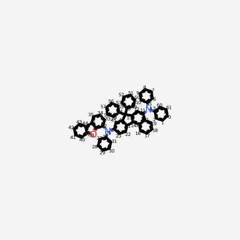 c1ccc(N(c2ccccc2)c2cc3c(c4ccccc24)-c2ccc(N(c4ccccc4)c4cccc5c4oc4ccccc45)cc2C3(c2ccccc2)c2ccccc2)cc1